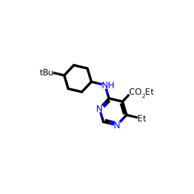 CCOC(=O)c1c(CC)ncnc1NC1CCC(C(C)(C)C)CC1